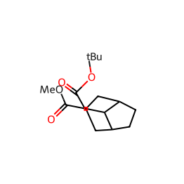 COC(=O)C1CC2CCC(C1)C2CC(=O)OC(C)(C)C